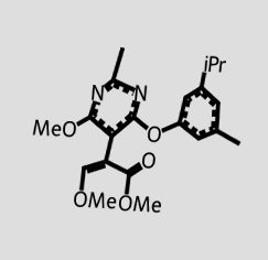 CO/C=C(\C(=O)OC)c1c(OC)nc(C)nc1Oc1cc(C)cc(C(C)C)c1